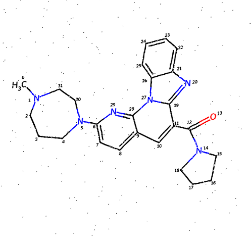 CN1CCCN(c2ccc3cc(C(=O)N4CCCC4)c4nc5ccccc5n4c3n2)CC1